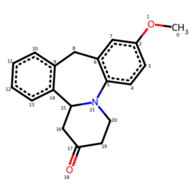 COc1ccc2c(c1)Cc1ccccc1C1CC(=O)CCN21